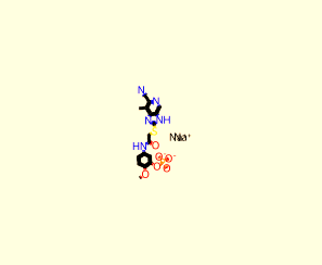 COc1ccc(NC(=O)CSc2nc3c(C)c(C#N)ncc3[nH]2)cc1OP(=O)([O-])[O-].[Na+].[Na+]